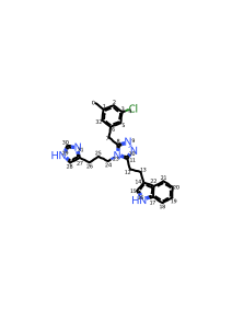 Cc1cc(Cl)cc(Cc2nnc(CCc3c[nH]c4ccccc34)n2CCCc2c[nH]cn2)c1